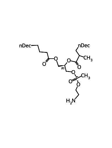 CCCCCCCCCCCCCC(=O)OC[C@H](COP(C)(=O)OCCN)OC(=O)C(C)CCCCCCCCCCC